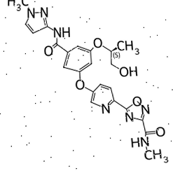 CNC(=O)c1noc(-c2ccc(Oc3cc(O[C@@H](C)CO)cc(C(=O)Nc4ccn(C)n4)c3)cn2)n1